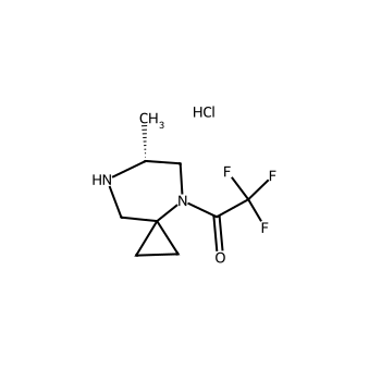 C[C@@H]1CN(C(=O)C(F)(F)F)C2(CC2)CN1.Cl